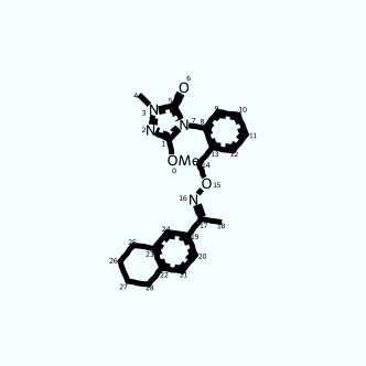 COc1nn(C)c(=O)n1-c1ccccc1CON=C(C)c1ccc2c(c1)CCCC2